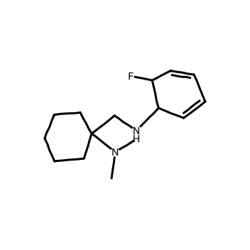 CN(C)C1(CNC2C=CC=CC2F)CCCCC1